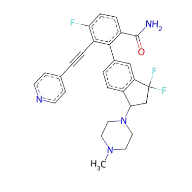 CN1CCN(C2CC(F)(F)c3cc(-c4c(C(N)=O)ccc(F)c4C#Cc4ccncc4)ccc32)CC1